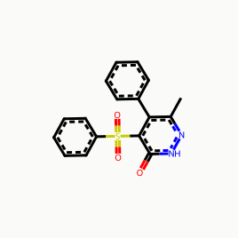 Cc1n[nH]c(=O)c(S(=O)(=O)c2ccccc2)c1-c1ccccc1